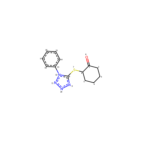 O=C1CCCCC1Sc1nnnn1-c1ccccc1